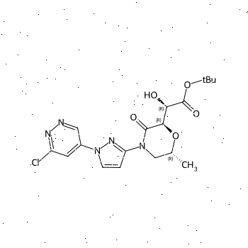 C[C@@H]1CN(c2ccn(-c3cnnc(Cl)c3)n2)C(=O)[C@@H]([C@@H](O)C(=O)OC(C)(C)C)O1